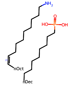 CCCCCCCC/C=C\CCCCCCCCN.CCCCCCCCCCCCCCCCCCP(=O)(O)O